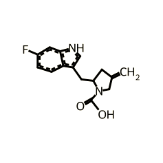 C=C1CC(Cc2c[nH]c3cc(F)ccc23)N(C(=O)O)C1